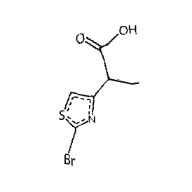 CC(C(=O)O)c1csc(Br)n1